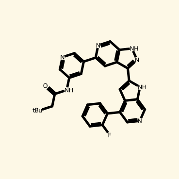 CC(C)(C)CC(=O)Nc1cncc(-c2cc3c(-c4cc5c(-c6ccccc6F)cncc5[nH]4)n[nH]c3cn2)c1